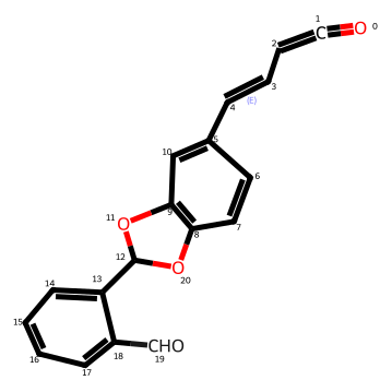 O=C=C/C=C/c1ccc2c(c1)OC(c1ccccc1C=O)O2